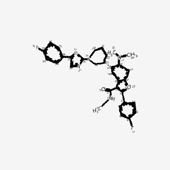 CNC(=O)c1c(-c2ccc(F)cc2)oc2cc(N(C)C)c([C@H]3CCCN(c4ncc(-c5ccc(F)cc5)o4)C3)cc12